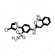 Nc1ccccc1CC(=O)Nc1ccc(-n2cc(Cl)cn2)c(S(N)(=O)=O)c1